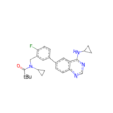 CC(C)(C)C(=O)N(Cc1cc(-c2ccc3ncnc(NC4CC4)c3c2)ccc1F)C1CC1